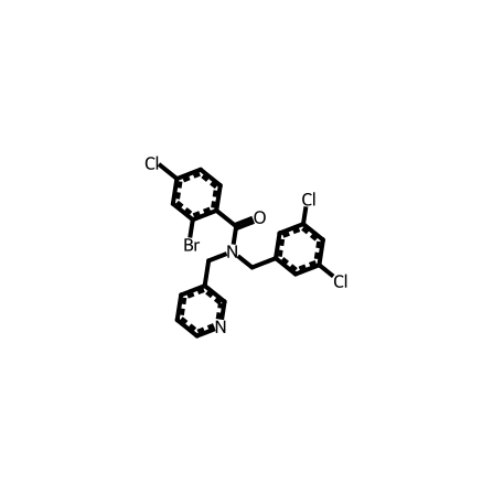 O=C(c1ccc(Cl)cc1Br)N(Cc1cccnc1)Cc1cc(Cl)cc(Cl)c1